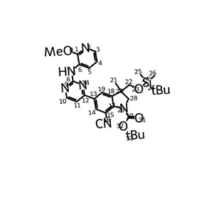 COc1ncccc1Nc1nccc(-c2cc(C#N)c3c(c2)C(C)(CO[Si](C)(C)C(C)(C)C)CN3C(=O)OC(C)(C)C)n1